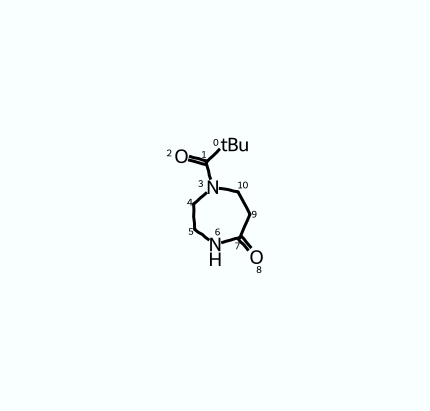 CC(C)(C)C(=O)N1CCNC(=O)CC1